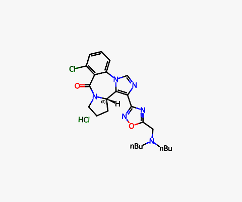 CCCCN(CCCC)Cc1nc(-c2ncn3c2[C@@H]2CCCN2C(=O)c2c(Cl)cccc2-3)no1.Cl